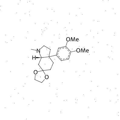 COc1ccc(C23CCN(C)[C@H]2CC2(CC3)OCCO2)cc1OC